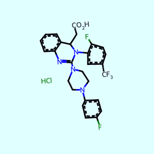 Cl.O=C(O)CC1c2ccccc2N=C(N2CCN(c3ccc(F)cc3)CC2)N1c1cc(C(F)(F)F)ccc1F